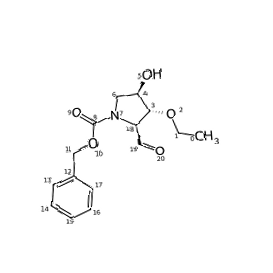 CCO[C@H]1[C@H](O)CN(C(=O)OCc2ccccc2)[C@@H]1C=O